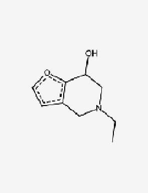 CCN1Cc2ccoc2C(O)C1